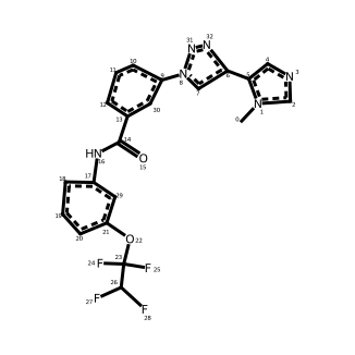 Cn1cncc1-c1cn(-c2cccc(C(=O)Nc3cccc(OC(F)(F)C(F)F)c3)c2)nn1